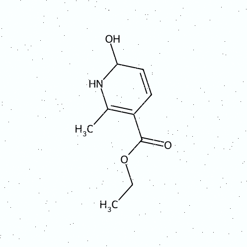 CCOC(=O)C1=C(C)NC(O)C=C1